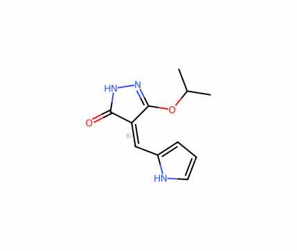 CC(C)OC1=NNC(=O)/C1=C/c1ccc[nH]1